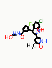 Cc1cc(/C(CC(c2cccc(C(=O)NCCO)c2)c2ccc(Cl)cc2F)=N/O)c[nH]c1=O